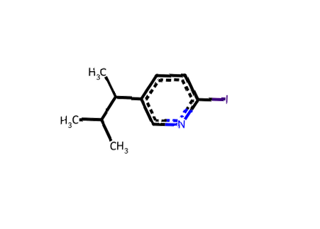 CC(C)C(C)c1ccc(I)nc1